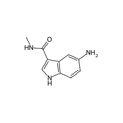 CNC(=O)c1c[nH]c2ccc(N)cc12